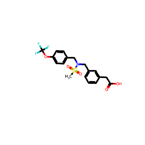 CS(=O)(=O)N(Cc1ccc(OC(F)(F)F)cc1)Cc1cccc(CC(=O)O)c1